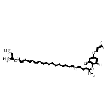 CCC(C)ON=CCCCCCCCCCCCCCCCOCCCC(C)Oc1c(Cl)cc(OCC=C(Cl)Cl)cc1Cl